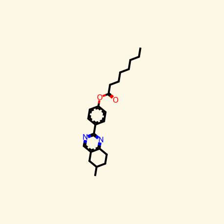 CCCCCCCC(=O)Oc1ccc(-c2ncc3c(n2)CCC(C)C3)cc1